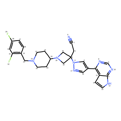 N#CCC1(n2cc(-c3ncnc4[nH]ccc34)cn2)CN(C2CCN(Cc3ccc(F)cc3F)CC2)C1